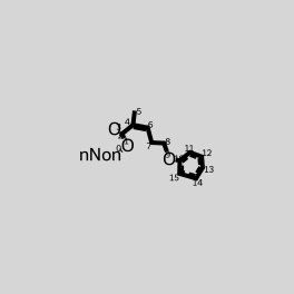 CCCCCCCCCOC(=O)C(C)=CCCOc1ccccc1